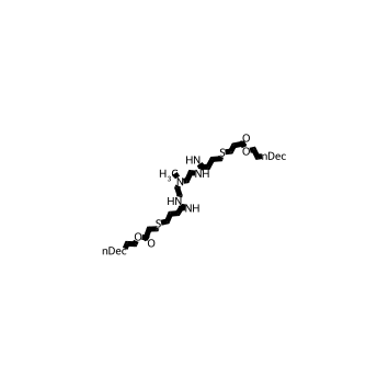 CCCCCCCCCCCCOC(=O)CCSCCCC(=N)NCCN(C)CCNC(=N)CCCSCCC(=O)OCCCCCCCCCCCC